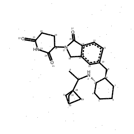 CC(N[C@H]1CCCC[C@@H]1Cc1ccc2c(c1)CN(C1CCC(=O)NC1=O)C2=O)C12CC(C1)C2